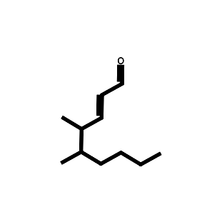 CCCCC(C)C(C)C=CC=O